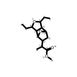 CCC1OC(CC)C2C3OC(CC3C(C)C(=O)OC)C12